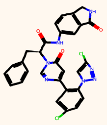 O=C1NCc2ccc(NC(=O)[C@H](Cc3ccccc3)n3cnc(-c4cc(Cl)ccc4-n4cc(Cl)nn4)cc3=O)cc21